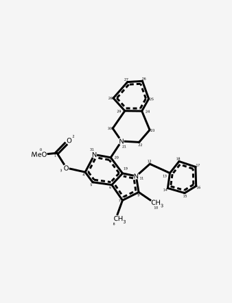 COC(=O)Oc1cc2c(C)c(C)n(Cc3ccccc3)c2c(N2CCc3ccccc3C2)n1